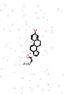 CC(=O)OCC(=O)[C@H]1CCC2C3CCC4=CC(=O)C=C[C@]4(C)C3=CC[C@@]21C